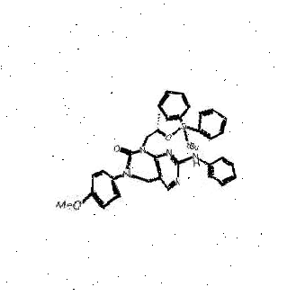 COc1ccc(N2Cc3cnc(Nc4ccccc4)nc3N(C[C@H](C)O[Si](c3ccccc3)(c3ccccc3)C(C)(C)C)C2=O)cc1